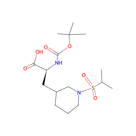 CC(C)S(=O)(=O)N1CCCC(C[C@H](NC(=O)OC(C)(C)C)C(=O)O)C1